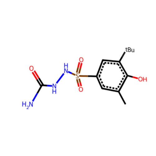 Cc1cc(S(=O)(=O)NNC(N)=O)cc(C(C)(C)C)c1O